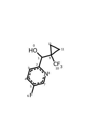 OC(c1ccc(F)cn1)C1(C(F)(F)F)CC1